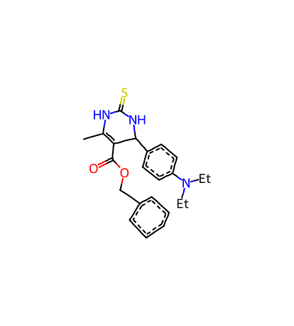 CCN(CC)c1ccc(C2NC(=S)NC(C)=C2C(=O)OCc2ccccc2)cc1